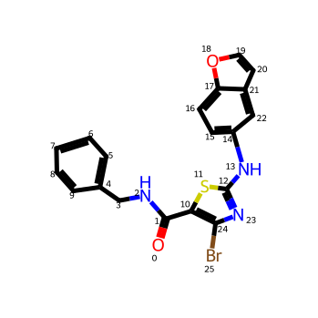 O=C(NCc1ccccc1)c1sc(Nc2ccc3occc3c2)nc1Br